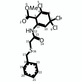 COC(=O)C1C(Cl)=CC(Cl)(Cl)C=C1NC(=O)CSCc1ccccc1